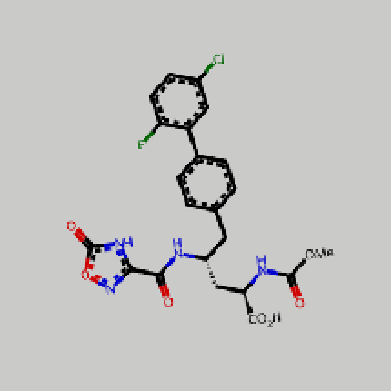 COC(=O)N[C@H](C[C@@H](Cc1ccc(-c2cc(Cl)ccc2F)cc1)NC(=O)c1noc(=O)[nH]1)C(=O)O